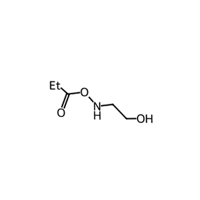 CCC(=O)ONCCO